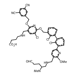 CNC(CCC=O)CNCc1ccc(-c2cccc(-c3cccc(COc4nc(OCc5cc(C#N)cc(C#N)c5)c(CNCCCC(=O)O)cc4Cl)c3Cl)c2Cl)nc1OC